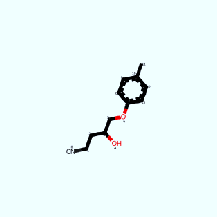 [C-]#[N+]CCC(O)COc1ccc(C)cc1